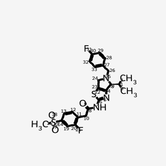 CC(C)[C@H]1c2nc(NC(=O)Cc3ccc(S(C)(=O)=O)cc3F)sc2CN1Cc1ccc(F)cc1